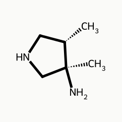 C[C@H]1CNC[C@]1(C)N